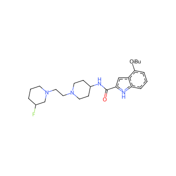 CC(C)COc1cccc2[nH]c(C(=O)NC3CCN(CCN4CCCC(F)C4)CC3)cc12